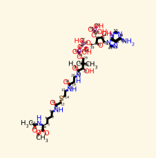 COC(=O)[C@H](CCCCNC(=O)CSCCNC(=O)CCNC(=O)[C@@H](O)C(C)(C)COP(=O)(O)OP(=O)(O)OC[C@H]1O[C@@H](n2cnc3c(N)ncnc32)C(O)[C@H]1OP(=O)(O)O)NC(C)=O